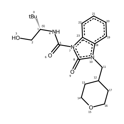 CC(C)(C)[C@@H](CO)NC(=O)n1c(=O)n(CC2CCOCC2)c2ccccc21